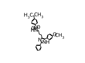 COc1ccc(-c2[nH]c(-c3ccccc3)nc2CCCNS(=O)(=O)c2ccc(C(C)C)cc2)cc1